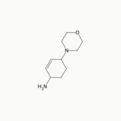 NC1C=CC(N2CCOCC2)CC1